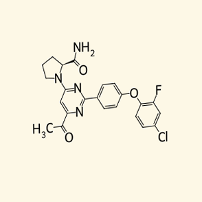 CC(=O)c1cc(N2CCC[C@H]2C(N)=O)nc(-c2ccc(Oc3ccc(Cl)cc3F)cc2)n1